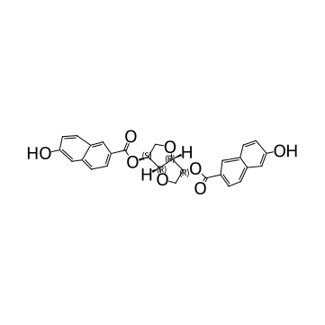 O=C(O[C@H]1CO[C@H]2[C@@H]1OC[C@H]2OC(=O)c1ccc2cc(O)ccc2c1)c1ccc2cc(O)ccc2c1